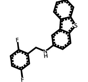 Fc1ccc(F)c(CNc2ccc3sc4ccccc4c3c2)c1